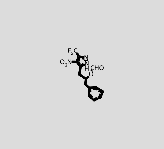 O=COC(Cc1ccccc1)Cc1[nH]nc(C(F)(F)F)c1[N+](=O)[O-]